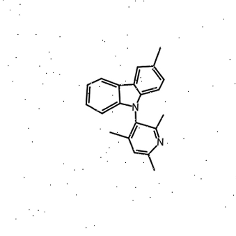 Cc1ccc2c(c1)c1ccccc1n2-c1c(C)cc(C)nc1C